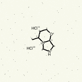 CC1CCOC2CNCN12.Cl.Cl